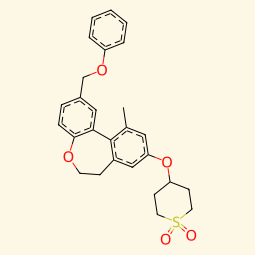 Cc1cc(OC2CCS(=O)(=O)CC2)cc2c1-c1cc(COc3ccccc3)ccc1OCC2